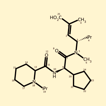 C/C(=C\[C@H](C(C)C)N(C)C(=O)[C@H](NC(=O)C1CCCCN1C(C)C)C1CCCC1)C(=O)O